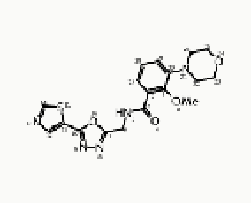 COc1c(C(=O)NCc2nnc(-c3cncs3)o2)cccc1N1CCOCC1